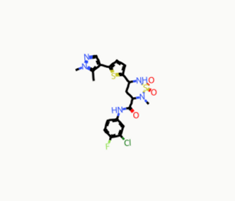 Cc1c(-c2ccc(C3CC(C(=O)Nc4ccc(F)c(Cl)c4)N(C)S(=O)(=O)N3)s2)cnn1C